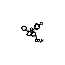 O=C(O)C[C@H]1CN(Cc2ccc(Cl)cc2)C2(CCN(C3CCCCC3)C2=O)C1